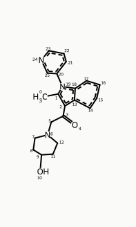 Cc1c(C(=O)CN2CCC(O)CC2)c2ccccc2n1-c1cccnc1